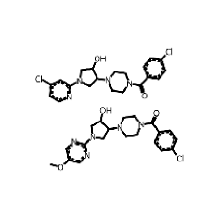 COc1cnc(N2CC(O)C(N3CCN(C(=O)c4ccc(Cl)cc4)CC3)C2)nc1.O=C(c1ccc(Cl)cc1)N1CCN(C2CN(c3cc(Cl)ccn3)CC2O)CC1